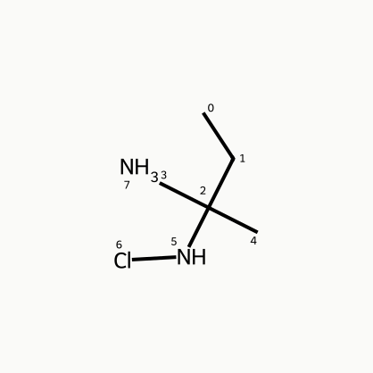 CCC(C)(C)NCl.N